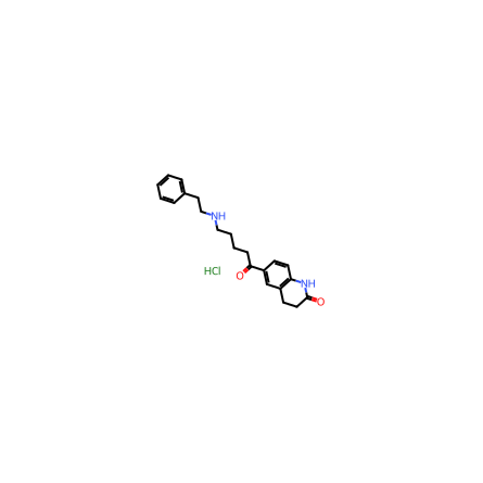 Cl.O=C1CCc2cc(C(=O)CCCCNCCc3ccccc3)ccc2N1